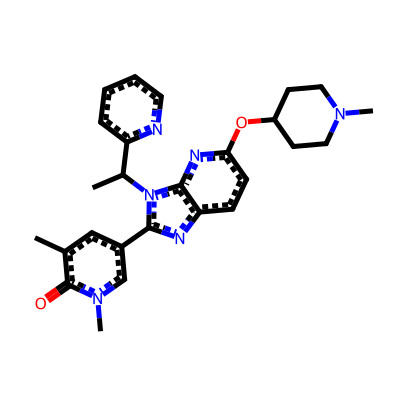 Cc1cc(-c2nc3ccc(OC4CCN(C)CC4)nc3n2C(C)c2ccccn2)cn(C)c1=O